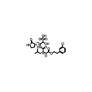 CC(C)C[C@H](NC(=O)OCCc1cccc(Cl)c1)C(=O)N[C@@H](C[C@@H]1CCNC1=O)C(O)S(=O)(=O)O